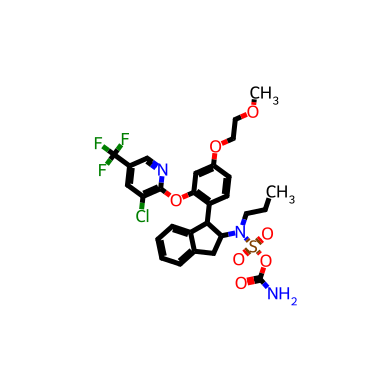 CCCN(C1Cc2ccccc2C1c1ccc(OCCOC)cc1Oc1ncc(C(F)(F)F)cc1Cl)S(=O)(=O)OC(N)=O